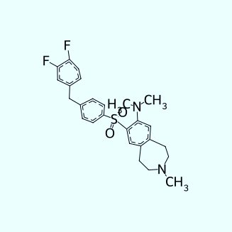 CN1CCc2cc(N(C)C)c(S(=O)(=O)c3ccc(Cc4ccc(F)c(F)c4)cc3)cc2CC1